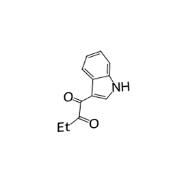 CCC(=O)C(=O)c1c[nH]c2ccccc12